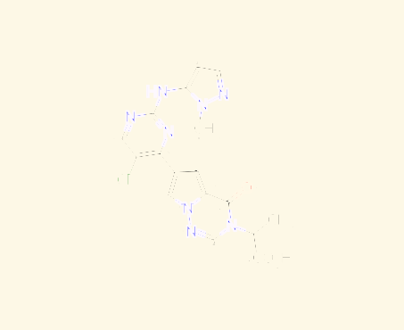 CC(C(=O)O)n1cnn2cc(-c3nc(Nc4ccnn4C)ncc3Cl)cc2c1=O